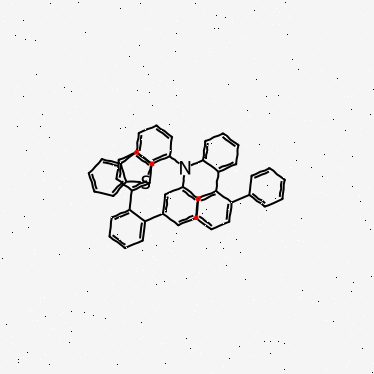 c1ccc(-c2ccccc2-c2cccc(N(c3ccccc3-c3ccccc3-c3ccccc3)c3cccc4c3sc3ccccc34)c2)cc1